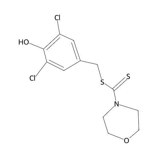 Oc1c(Cl)cc(CSC(=S)N2CCOCC2)cc1Cl